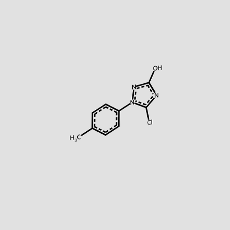 Cc1ccc(-n2nc(O)nc2Cl)cc1